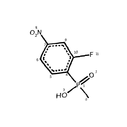 CP(=O)(O)c1ccc([N+](=O)[O-])cc1F